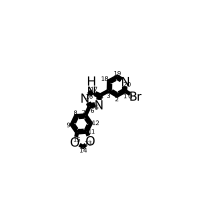 Brc1cc(-c2nc(-c3ccc4c(c3)OCO4)n[nH]2)ccn1